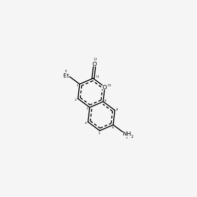 CCc1cc2ccc(N)cc2oc1=O